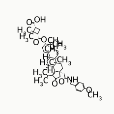 COc1ccc(CNC(=O)C[C@@]23CC[C@]4(C)[C@H](CC[C@@H]5[C@@]6(C)CC[C@H](OC(=O)[C@H]7C[C@@H](C(=O)O)C7(C)C)C(C)(C)[C@@H]6CC[C@]54C)C2=C(C(C)C)C(=O)C3)cc1